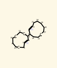 C1=C/C(C2/C=C/CCCCCCCC2)CCCCCCCC/1